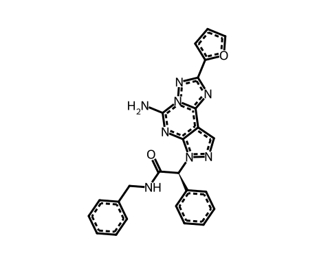 Nc1nc2c(cnn2[C@H](C(=O)NCc2ccccc2)c2ccccc2)c2nc(-c3ccco3)nn12